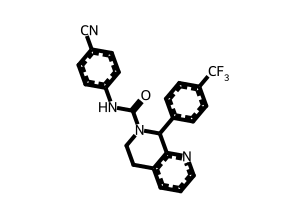 N#Cc1ccc(NC(=O)N2CCc3cccnc3C2c2ccc(C(F)(F)F)cc2)cc1